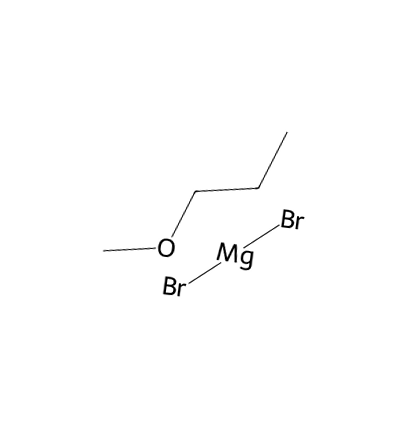 CCCOC.[Br][Mg][Br]